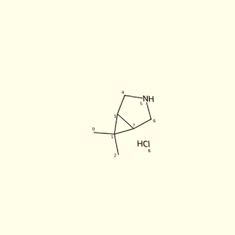 CC1(C)C2CNCC21.Cl